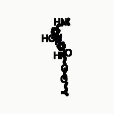 CC(C)CCCOCCCOCCCNC(=O)c1ccc(/N=N/c2cc(CCNC(C)C)ccc2O)cc1